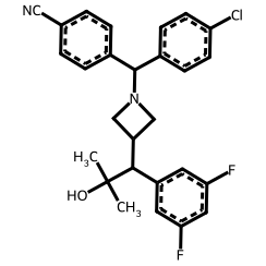 CC(C)(O)C(c1cc(F)cc(F)c1)C1CN(C(c2ccc(Cl)cc2)c2ccc(C#N)cc2)C1